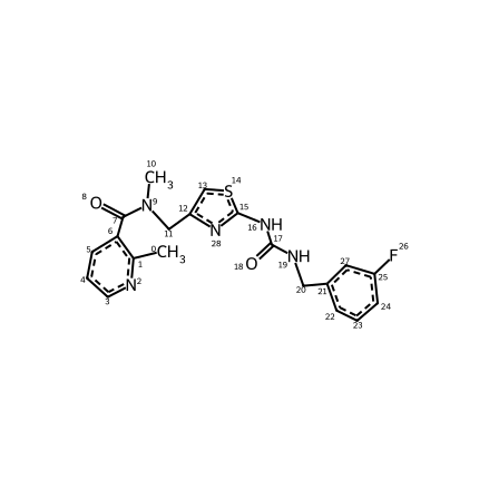 Cc1ncccc1C(=O)N(C)Cc1csc(NC(=O)NCc2cccc(F)c2)n1